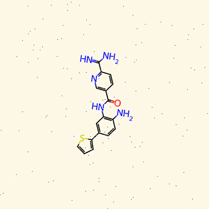 N=C(N)c1ccc(C(=O)Nc2cc(-c3cccs3)ccc2N)cn1